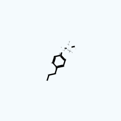 CCCc1ccc(NS(C)(=O)=O)cc1